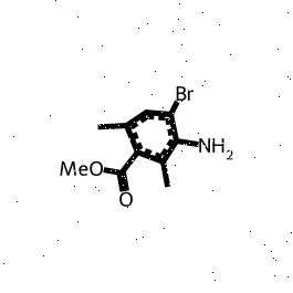 COC(=O)c1c(C)cc(Br)c(N)c1C